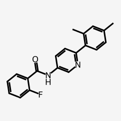 Cc1ccc(-c2ccc(NC(=O)c3ccccc3F)cn2)c(C)c1